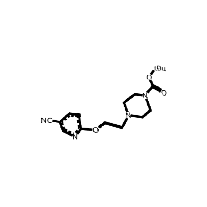 CC(C)(C)OC(=O)N1CCN(CCOc2ccc(C#N)cn2)CC1